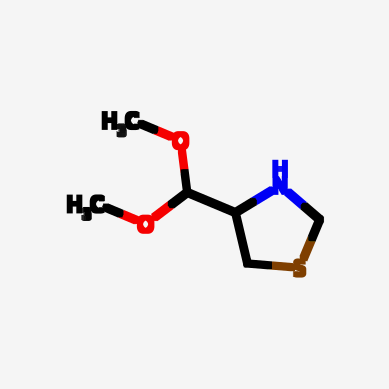 COC(OC)C1CSCN1